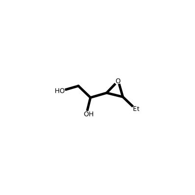 CCC1OC1C(O)CO